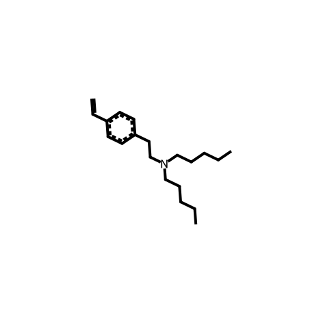 C=Cc1ccc(CCN(CCCCC)CCCCC)cc1